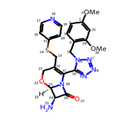 COc1ccc(Cn2nnnc2C2=C(CSc3ccncc3)CO[C@@H]3[C@H](N)C(=O)N23)c(OC)c1